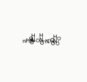 CCCS(=O)(=O)NCc1ccc(NC(=O)CCN2CCC(OC(=O)Nc3ccccc3-c3ccccc3)CC2)cc1